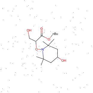 CCCCOC(=O)C(CO)ON1C(C)(C)CC(O)CC1(C)C